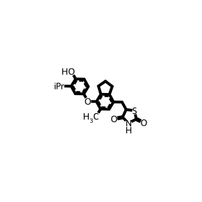 Cc1cc(CC2SC(=O)NC2=O)c2c(c1Oc1ccc(O)c(C(C)C)c1)CCC2